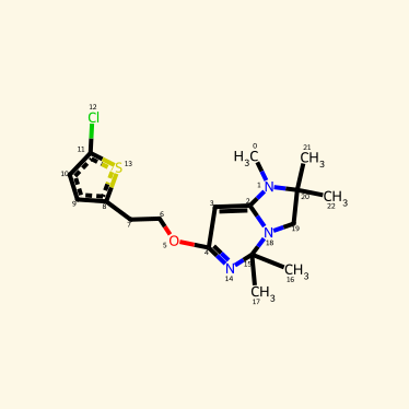 CN1C2=CC(OCCc3ccc(Cl)s3)=NC(C)(C)N2CC1(C)C